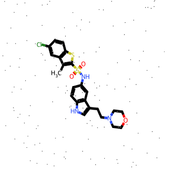 Cc1c(S(=O)(=O)Nc2ccc3[nH]cc(CCN4CCOCC4)c3c2)sc2ccc(Cl)cc12